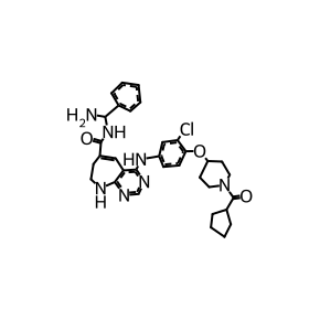 NC(NC(=O)C1=Cc2c(ncnc2Nc2ccc(OC3CCN(C(=O)C4CCCC4)CC3)c(Cl)c2)NCC1)c1ccccc1